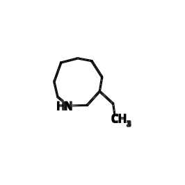 CCC1CCCCCCNC1